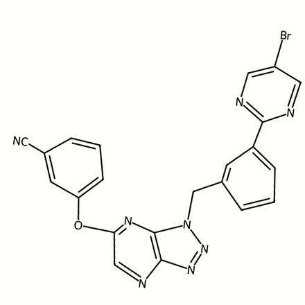 N#Cc1cccc(Oc2cnc3nnn(Cc4cccc(-c5ncc(Br)cn5)c4)c3n2)c1